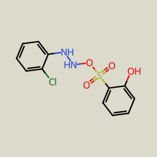 O=S(=O)(ONNc1ccccc1Cl)c1ccccc1O